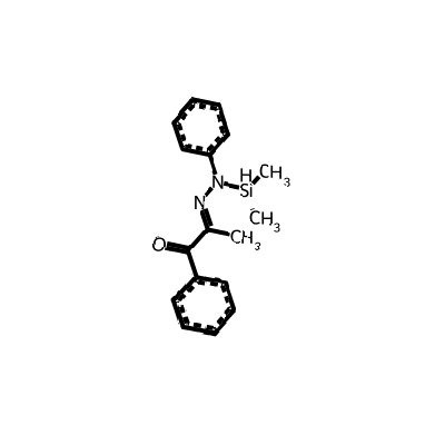 CC(=NN(c1ccccc1)[SiH](C)C)C(=O)c1ccccc1